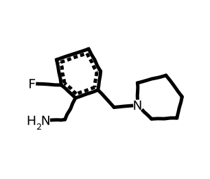 NCc1c(F)cccc1CN1CCCCC1